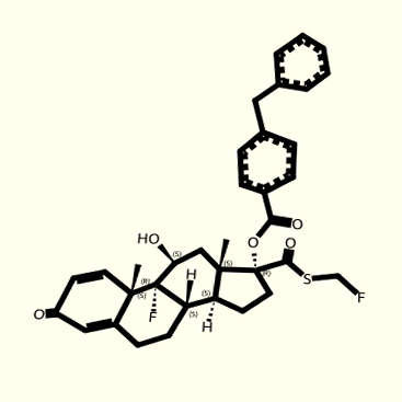 C[C@]12C=CC(=O)C=C1CC[C@H]1[C@@H]3CC[C@](OC(=O)c4ccc(Cc5ccccc5)cc4)(C(=O)SCF)[C@@]3(C)C[C@H](O)[C@@]12F